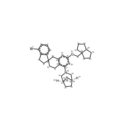 Brc1cccc2c1CCC21CCc2c(nc(OCC34CCCN3CCC4)nc2N2C[C@H]3CC[C@@H](C2)N3)C1